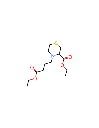 CCOC(=O)CCCN1CCSCC1C(=O)OCC